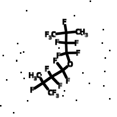 CC(F)(C(F)(F)F)C(F)(F)C(F)(F)OC(F)(F)C(F)(F)C(C)(F)C(F)(F)F